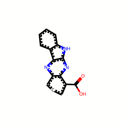 O=C(O)c1cccc2nc3c(nc12)[nH]c1ccccc13